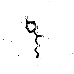 C=CCOCC(N)c1ccc(Cl)cn1